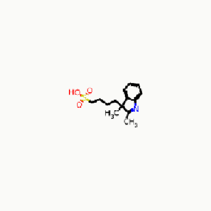 CC1=Nc2ccccc2C1(C)CCCCS(=O)(=O)O